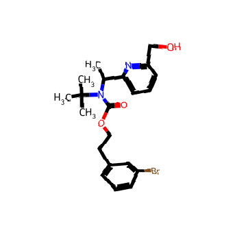 CC(c1cccc(CO)n1)N(C(=O)OCCc1cccc(Br)c1)C(C)(C)C